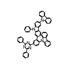 c1ccc(-c2nc(-c3ccccc3)nc(-c3ccc(-n4c5ccccc5c5ccccc54)c(-c4ccc5c6cc(-n7c8ccccc8c8ccccc87)ccc6n(-c6ccccc6)c5c4)c3)n2)cc1